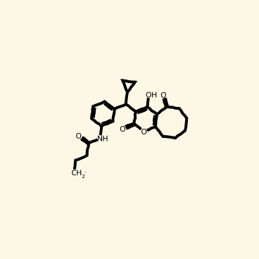 [CH2]CCC(=O)Nc1cccc(C(c2c(O)c3c(oc2=O)CCCCCC3=O)C2CC2)c1